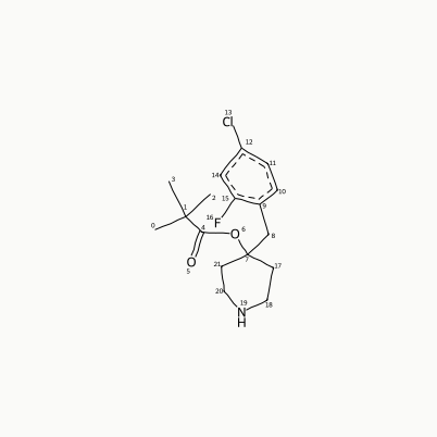 CC(C)(C)C(=O)OC1(Cc2ccc(Cl)cc2F)CCNCC1